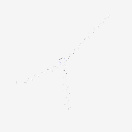 CCCCCCCCCCCCCCCCCCN1C=CN(CCCCCCCCCCCC)C1CCCCCCCCCCCCCC